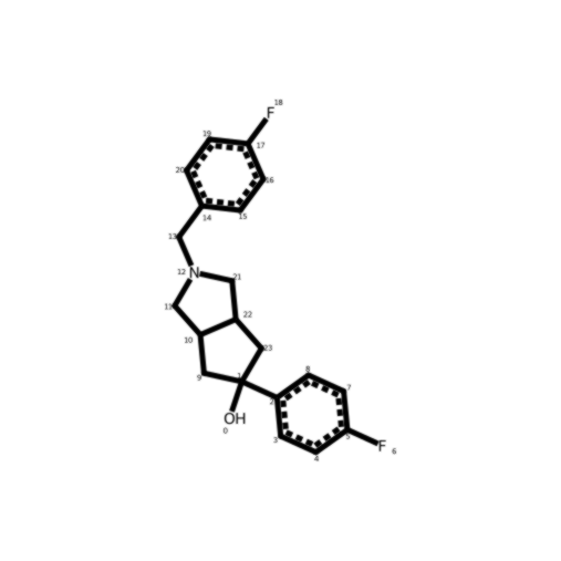 OC1(c2ccc(F)cc2)CC2CN(Cc3ccc(F)cc3)CC2C1